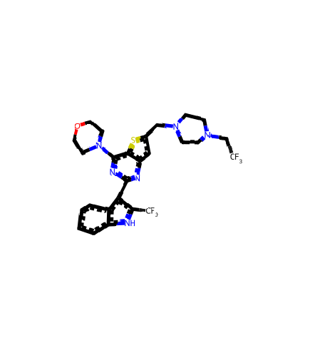 FC(F)(F)CN1CCN(Cc2cc3nc(-c4c(C(F)(F)F)[nH]c5ccccc45)nc(N4CCOCC4)c3s2)CC1